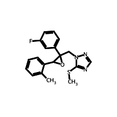 CSc1ncnn1CC1(c2cccc(F)c2)OC1c1ccccc1C